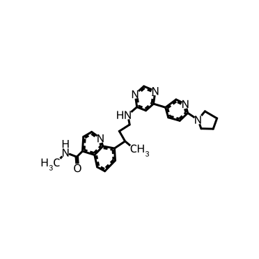 CNC(=O)c1ccnc2c(C(C)CCNc3cc(-c4ccc(N5CCCC5)nc4)ncn3)cccc12